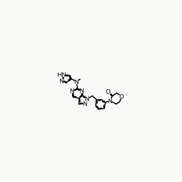 CN(c1cn[nH]c1)c1ncc2cnn(Cc3cccc(N4CCOCC4=O)c3)c2n1